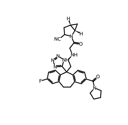 N#CC1C[C@@H]2C[C@@H]2N1C(=O)CNCCC1(c2nnn[nH]2)c2ccc(F)cc2CCc2cc(C(=O)N3CCCC3)ccc21